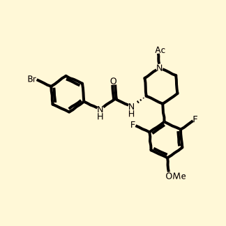 COc1cc(F)c(C2CCN(C(C)=O)C[C@H]2NC(=O)Nc2ccc(Br)cc2)c(F)c1